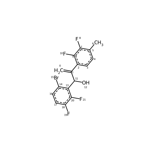 C=C(c1ccc(C)c(F)c1F)C(O)c1c(Br)ccc(F)c1F